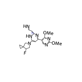 COc1ncc(C2=N/C(=C/C=N)NC(N3CC(F)C4(CC4)C3)=C2)c(OC)n1